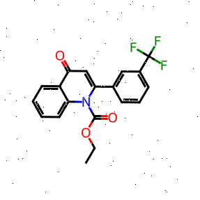 CCOC(=O)n1c(-c2cccc(C(F)(F)F)c2)cc(=O)c2ccccc21